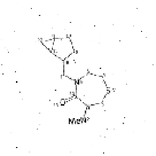 CNC1CSCCN(CC2CCC3CC32)C1=O